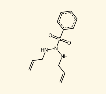 C=CCNN(NCC=C)S(=O)(=O)c1ccccc1